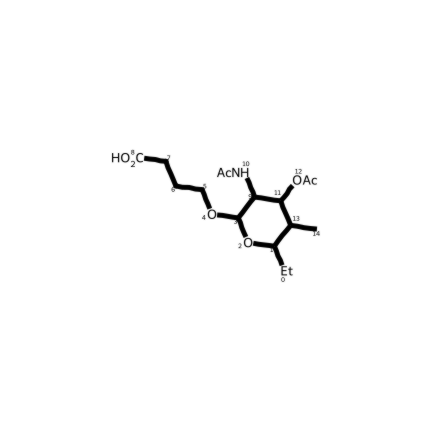 CCC1OC(OCCCC(=O)O)C(NC(C)=O)C(OC(C)=O)C1C